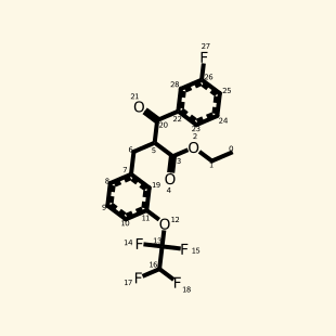 CCOC(=O)C(Cc1cccc(OC(F)(F)C(F)F)c1)C(=O)c1cccc(F)c1